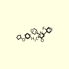 Cn1c(N2CCO[C@@H](c3ccc(OC4CCCC4)cc3)C2)nc(-c2ccncc2F)cc1=O